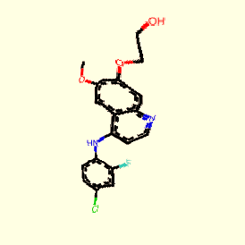 COc1cc2c(Nc3ccc(Cl)cc3F)ccnc2cc1OCCO